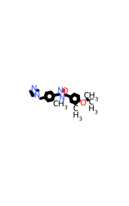 Cc1cc(-c2nc(-c3ccc(Cn4ccnc4)cc3C)no2)ccc1OC(C)C